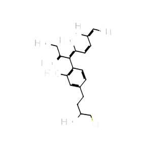 C=C(CC)/C(=C(C)/C=C\C(C)=C/C)c1ccc(CCC(C)CS)cc1C